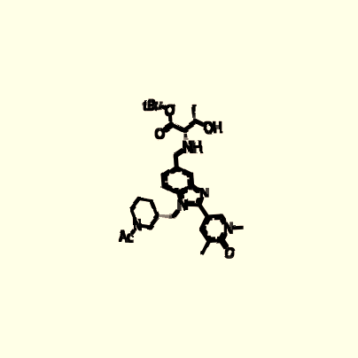 CC(=O)N1CCC[C@H](Cn2c(-c3cc(C)c(=O)n(C)c3)nc3cc(CN[C@H](C(=O)OC(C)(C)C)[C@@H](C)O)ccc32)C1